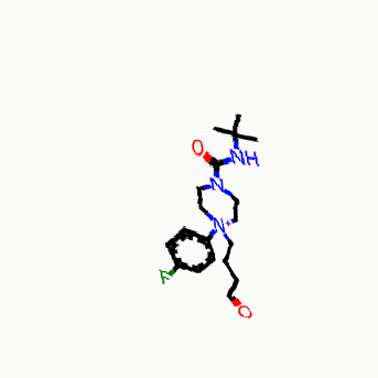 CC(C)(C)NC(=O)N1CC[N+](CCCC=O)(c2ccc(F)cc2)CC1